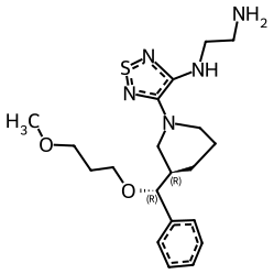 COCCCO[C@@H](c1ccccc1)[C@@H]1CCCN(c2nsnc2NCCN)C1